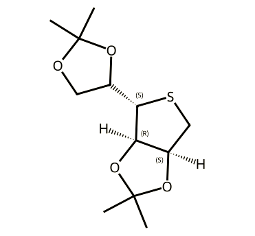 CC1(C)OCC([C@@H]2SC[C@H]3OC(C)(C)O[C@H]32)O1